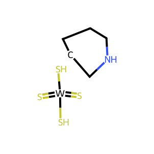 C1CCNCC1.[S]=[W](=[S])([SH])[SH]